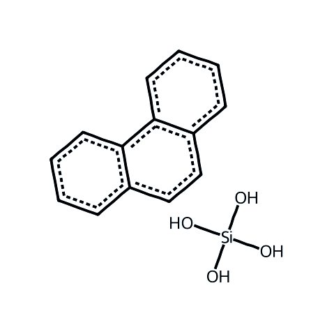 O[Si](O)(O)O.c1ccc2c(c1)ccc1ccccc12